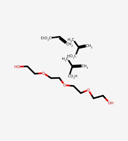 C=C(C)C(=O)O.C=C(C)C(=O)O.C=CC(=O)OCC.OCCOCCOCCOCCO